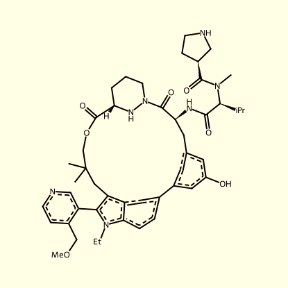 CCn1c(-c2cnccc2COC)c2c3cc(ccc31)-c1cc(O)cc(c1)C[C@H](NC(=O)[C@H](C(C)C)N(C)C(=O)[C@H]1CCNC1)C(=O)N1CCC[C@H](N1)C(=O)OCC(C)(C)C2